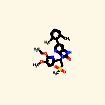 CCOc1nc(C(CS(C)(=O)=O)n2c(=O)[nH]c3cc(-c4c(C)cccc4C)cnc32)ccc1OC